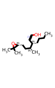 CCCC[C@@H](/C=C\O)[C@H](C)CC[C@H]1OC1(C)C